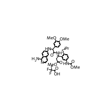 COC(=O)C[C@@H](NC(=O)C(Nc1ccc2c(N)nccc2c1)c1ccc(OC)c(OC)c1)c1cc(NC(=O)OC)ccc1SC(C)C.O=C(O)C(F)(F)F